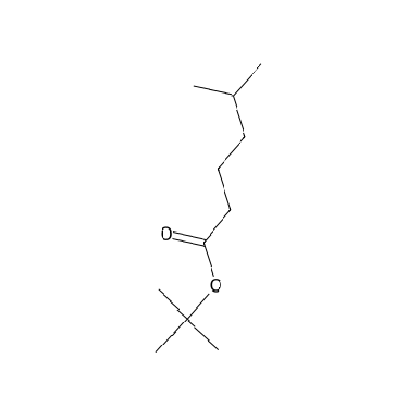 CC(C)CCCC(=O)OC(C)(C)C